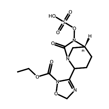 CCOC(=O)N1OCN=C1C1CC[C@@H]2CN1C(=O)N2OS(=O)(=O)O